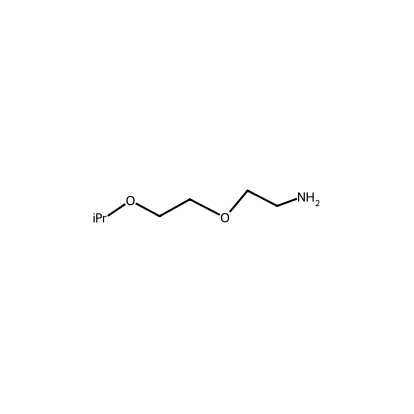 CC(C)OCCOCCN